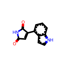 O=C1C=C(c2cccc3[nH]ccc23)C(=O)N1